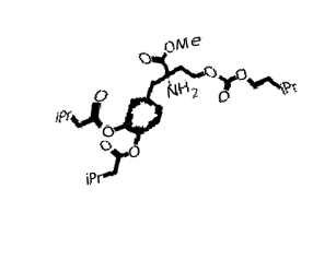 COC(=O)[C@@](N)(CCOC(=O)OCCC(C)C)Cc1ccc(OC(=O)CC(C)C)c(OC(=O)CC(C)C)c1